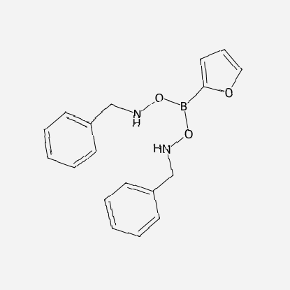 c1ccc(CNOB(ONCc2ccccc2)c2ccco2)cc1